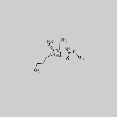 CCCCNC(=O)[C@@](C)(NC(=O)OC)C(C)C